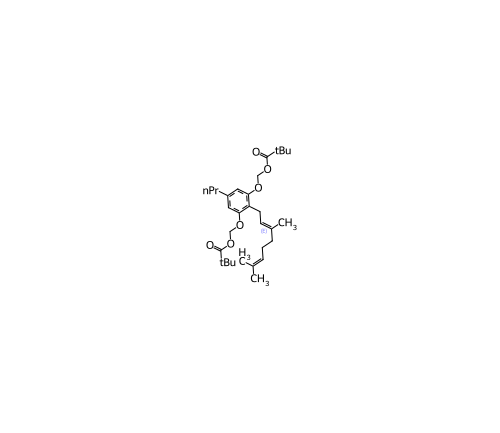 CCCc1cc(OCOC(=O)C(C)(C)C)c(C/C=C(\C)CCC=C(C)C)c(OCOC(=O)C(C)(C)C)c1